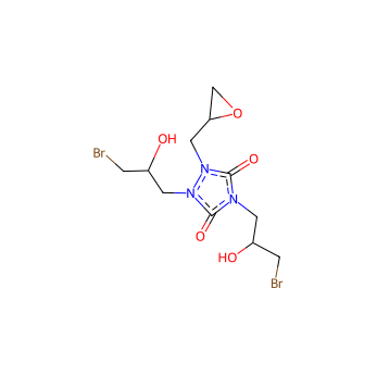 O=c1n(CC(O)CBr)c(=O)n(CC2CO2)n1CC(O)CBr